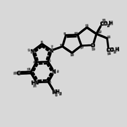 Nc1nc2c(ncn2C2C=C3CC(CC(=O)O)(C(=O)O)OC3C2)c(=O)[nH]1